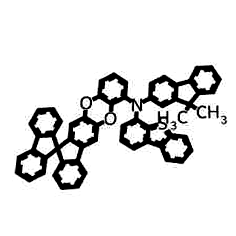 CC1(C)c2ccccc2-c2ccc(N(c3cccc4c3Oc3cc5c(cc3O4)C3(c4ccccc4-c4ccccc43)c3ccccc3-5)c3cccc4c3sc3ccccc34)cc21